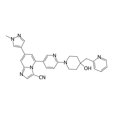 Cn1cc(-c2cc(-c3ccc(N4CCC(O)(Cc5ccccn5)CC4)nc3)n3c(C#N)cnc3c2)cn1